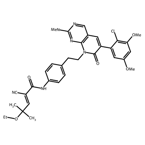 CCOC(C)(C)C=C(C#N)C(=O)Nc1ccc(CCn2c(=O)c(-c3cc(OC)cc(OC)c3Cl)cc3cnc(NC)nc32)cc1